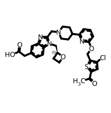 CC(=O)c1cc(Cl)c(COc2cccc(C3CCN(Cc4nc5cc(CC(=O)O)ccc5n4C[C@@H]4CCO4)CC3)n2)s1